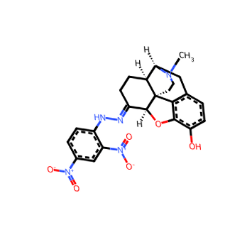 CN1CC[C@]23c4c5ccc(O)c4O[C@H]2C(=NNc2ccc([N+](=O)[O-])cc2[N+](=O)[O-])CC[C@H]3[C@H]1C5